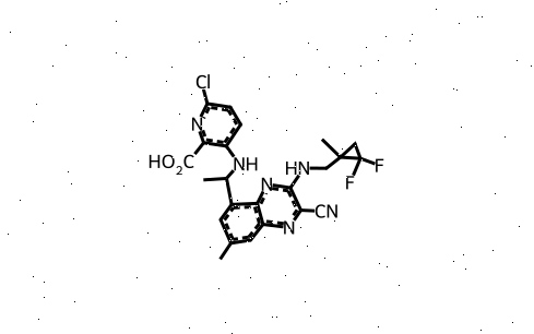 Cc1cc(C(C)Nc2ccc(Cl)nc2C(=O)O)c2nc(NCC3(C)CC3(F)F)c(C#N)nc2c1